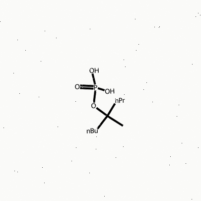 CCCCC(C)(CCC)OP(=O)(O)O